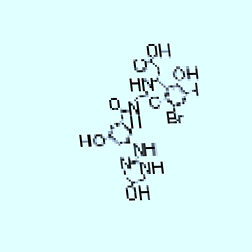 O=C(O)CC(NC(=O)CNC(=O)c1cc(O)cc(NC2=NCC(O)CN2)c1)c1cc(Br)cc(I)c1O